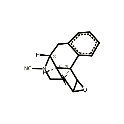 N#CN1CC[C@@]23c4ccccc4C[C@@H]1[C@@H]2CCC1OC13